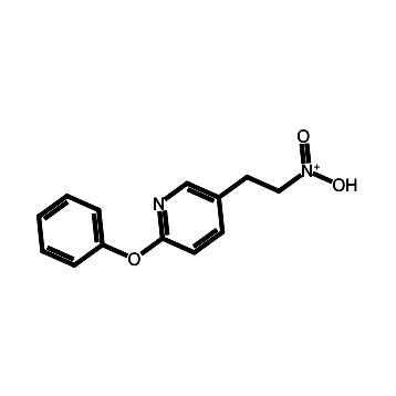 O=[N+](O)CCc1ccc(Oc2ccccc2)nc1